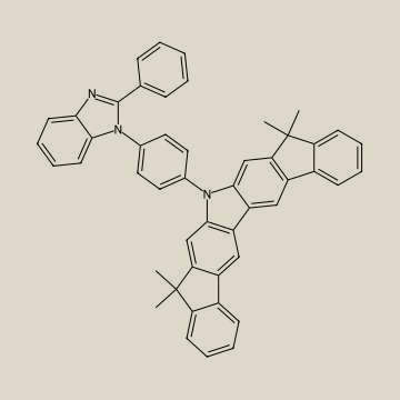 CC1(C)c2ccccc2-c2cc3c4cc5c(cc4n(-c4ccc(-n6c(-c7ccccc7)nc7ccccc76)cc4)c3cc21)C(C)(C)c1ccccc1-5